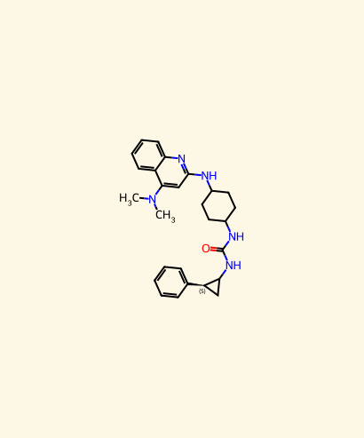 CN(C)c1cc(NC2CCC(NC(=O)NC3C[C@H]3c3ccccc3)CC2)nc2ccccc12